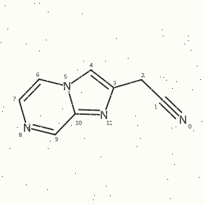 N#CCc1cn2ccncc2n1